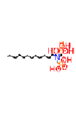 CCCCCCCCCCCCN(CP(=O)(O)O)C[PH](O)(O)O